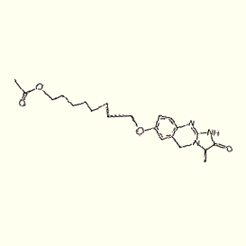 CC(=O)OCCCCCCCCOc1ccc2c(c1)CN1C(=N2)NC(=O)C1C